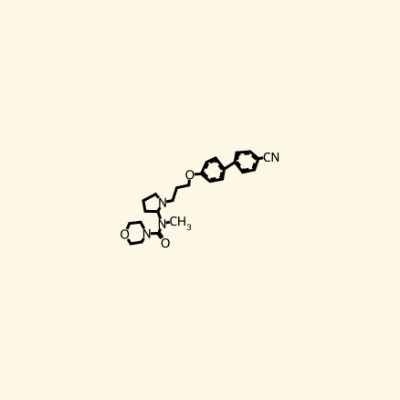 CN(C(=O)N1CCOCC1)C1CCCN1CCCOc1ccc(-c2ccc(C#N)cc2)cc1